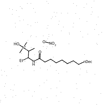 CCCCCCCCCCCCCCCCCC(=O)NC(CC)C(C)[N+](C)(C)O.O=[N+]([O-])[O-]